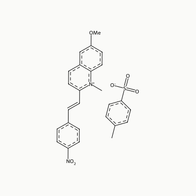 COc1ccc2c(ccc(C=Cc3ccc([N+](=O)[O-])cc3)[n+]2C)c1.Cc1ccc(S(=O)(=O)[O-])cc1